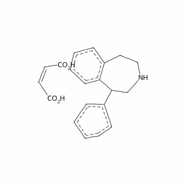 O=C(O)/C=C\C(=O)O.c1ccc(C2CNCCc3ccccc32)cc1